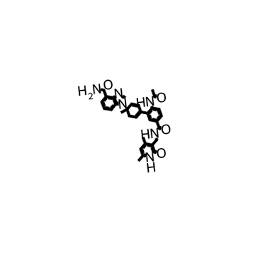 CC(=O)Nc1ccc(C(=O)NCc2c(C)cc(C)[nH]c2=O)cc1C1=CCC(C)(n2cnc3c(C(N)=O)cccc32)C=C1